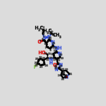 C=CCn1c(=O)c2ccc(Nc3cc(N[C@H](CO)c4ccc(F)cc4)c(-c4nc(C56CCN(CC5)CC6)no4)cn3)nc2n1C(C)C